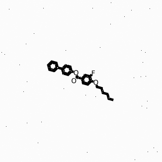 CCCCCCOc1ccc(C(=O)Oc2ccc(-c3ccccc3)cc2)cc1F